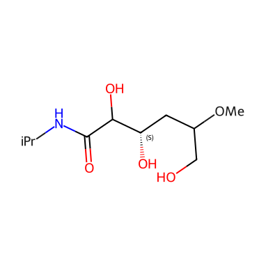 COC(CO)C[C@H](O)C(O)C(=O)NC(C)C